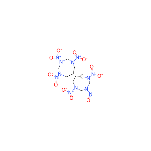 O=NN1CN([N+](=O)[O-])CCCN([N+](=O)[O-])C1.O=[N+]([O-])N1CCCN([N+](=O)[O-])CN([N+](=O)[O-])C1